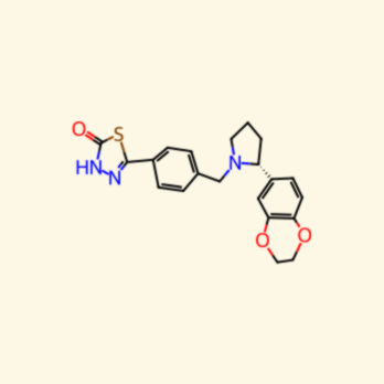 O=c1[nH]nc(-c2ccc(CN3CCC[C@@H]3c3ccc4c(c3)OCCO4)cc2)s1